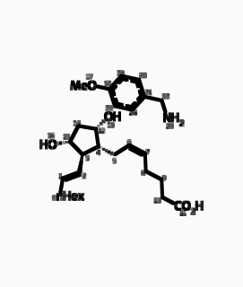 CCCCCC/C=C/[C@@H]1[C@@H](C/C=C\CCCC(=O)O)[C@@H](O)C[C@H]1O.COc1ccc(CN)cc1